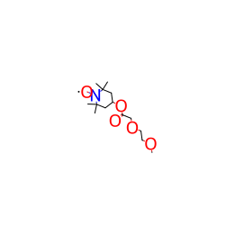 COCCOCC(=O)OC1CC(C)(C)N([O])C(C)(C)C1